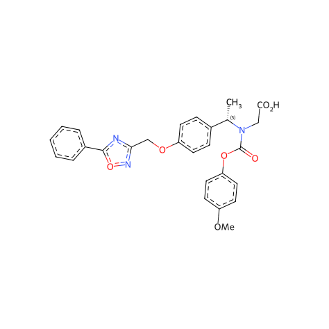 COc1ccc(OC(=O)N(CC(=O)O)[C@@H](C)c2ccc(OCc3noc(-c4ccccc4)n3)cc2)cc1